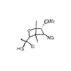 CCC(C)(O)C1OC2(C)[C@H](OC)C(N=O)C12C